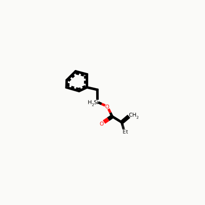 C=C(CC)C(=O)O[SiH2]Cc1ccccc1